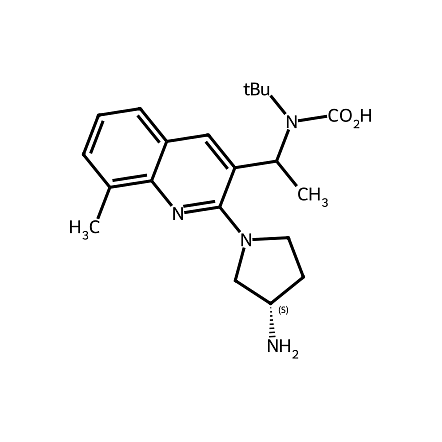 Cc1cccc2cc(C(C)N(C(=O)O)C(C)(C)C)c(N3CC[C@H](N)C3)nc12